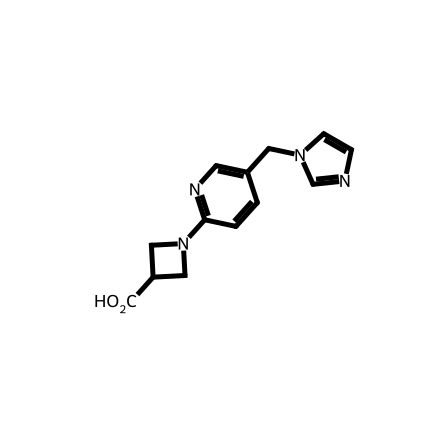 O=C(O)C1CN(c2ccc(Cn3ccnc3)cn2)C1